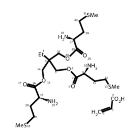 C=CC(=O)O.CCC(COC(=O)[C@@H](N)CCSC)(COC(=O)[C@@H](N)CCSC)COC(=O)[C@@H](N)CCSC